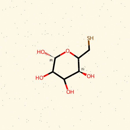 OC1C(O)[C@H](O)OC(CS)[C@H]1O